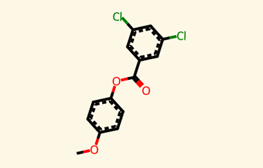 COc1ccc(OC(=O)c2cc(Cl)cc(Cl)c2)cc1